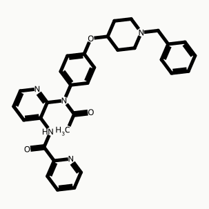 CC(=O)N(c1ccc(OC2CCN(Cc3ccccc3)CC2)cc1)c1ncccc1NC(=O)c1ccccn1